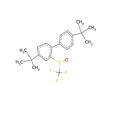 CC(C)(C)c1ccc(-c2ccc(C(C)(C)C)cc2[S+]([O-])C(F)(F)F)cc1